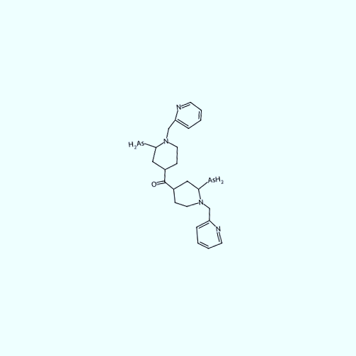 O=C(C1CCN(Cc2ccccn2)C([AsH2])C1)C1CCN(Cc2ccccn2)C([AsH2])C1